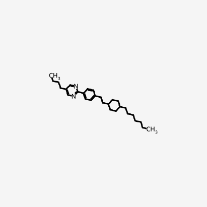 CCCCCCCC1CCC(CCc2ccc(-c3ncc(CCCC)cn3)cc2)CC1